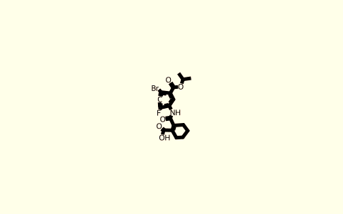 CC(C)OC(=O)c1cc(NC(=O)C2=C(C(=O)O)CCCC2)c(F)cc1Br